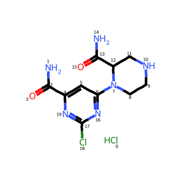 Cl.NC(=O)c1cc(N2CCNCC2C(N)=O)nc(Cl)n1